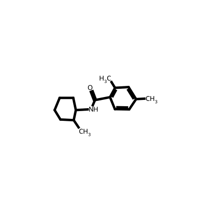 Cc1ccc(C(=O)NC2CCCCC2C)c(C)c1